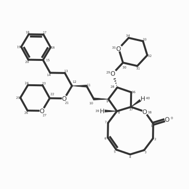 O=C1CCCC=CC[C@@H]2[C@@H](CC[C@H](CCc3ccccc3)OC3CCCCO3)[C@H](OC3CCCCO3)C[C@@H]2O1